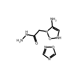 NNC(=O)CN1ONC=C1N.c1ncon1